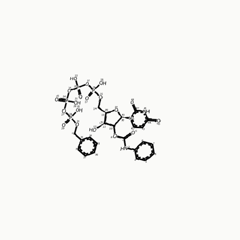 O=C(Nc1ccccc1)OC1[C@@H](O)[C@@H](COP(=O)(O)OP(=O)(O)OP(=O)(O)OP(=O)(O)OCc2ccccc2)O[C@H]1n1ccc(=O)[nH]c1=O